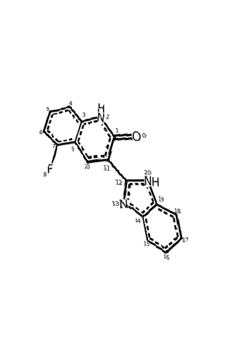 O=c1[nH]c2cccc(F)c2cc1-c1nc2ccccc2[nH]1